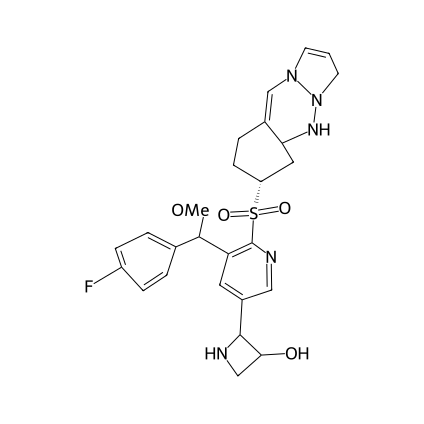 COC(c1ccc(F)cc1)c1cc(C2NCC2O)cnc1S(=O)(=O)[C@@H]1CCC2=CN3C=CCN3NC2C1